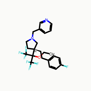 CCOC(C(F)(F)F)(C(F)(F)F)[C@]1(CCc2ccc(F)cc2)CCN(Cc2cccnc2)C1